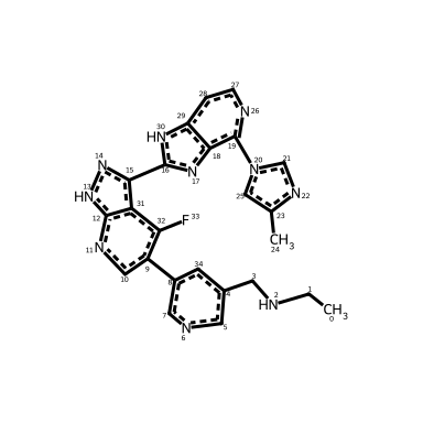 CCNCc1cncc(-c2cnc3[nH]nc(-c4nc5c(-n6cnc(C)c6)nccc5[nH]4)c3c2F)c1